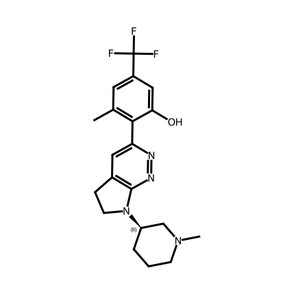 Cc1cc(C(F)(F)F)cc(O)c1-c1cc2c(nn1)N([C@@H]1CCCN(C)C1)CC2